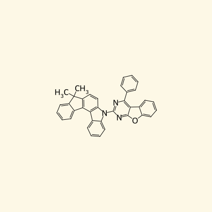 CC1(C)c2ccccc2-c2c1ccc1c2c2ccccc2n1-c1nc(-c2ccccc2)c2c(n1)oc1ccccc12